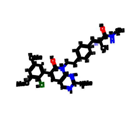 CNc1ncc2cc(-c3cc(OC)cc(OC)c3Cl)c(=O)n(CCc3ccc(/C=C(\C#N)C(=O)NC(C)(C)C)cc3)c2n1